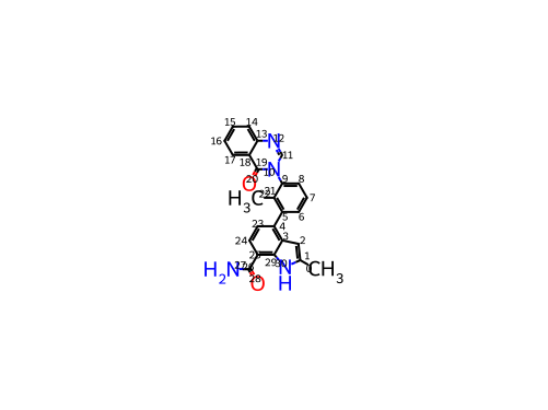 Cc1cc2c(-c3cccc(-n4cnc5ccccc5c4=O)c3C)ccc(C(N)=O)c2[nH]1